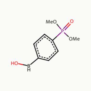 COP(=O)(OC)c1ccc(BO)cc1